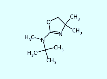 CN(C1=NC(C)(C)CO1)C(C)(C)C